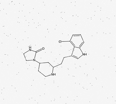 O=C1NCCN1C1CCNC(CCc2c[nH]c3cccc(Cl)c23)C1